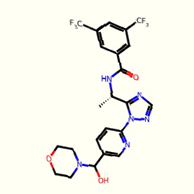 C[C@H](NC(=O)c1cc(C(F)(F)F)cc(C(F)(F)F)c1)c1ncnn1-c1ccc(C(O)N2CCOCC2)cn1